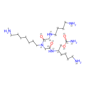 NCCCCCCCN(CC(=O)NC(CCCCN)COC(N)=O)C(=O)CNCCCCN